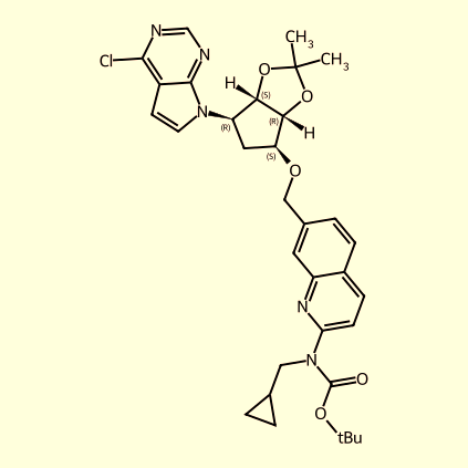 CC(C)(C)OC(=O)N(CC1CC1)c1ccc2ccc(CO[C@H]3C[C@@H](n4ccc5c(Cl)ncnc54)[C@@H]4OC(C)(C)O[C@@H]43)cc2n1